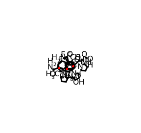 CC1(C)C(C(N)=O)c2ccc(cc2)[C@@]1(C(=O)NC(=O)O)N1CCCC1[C@@H]1CC[C@@H](C2CCCN2[C@]2(C(=O)NC(=O)O)c3ccc(cc3)C(C(N)=O)C2(C)C)N1c1ccc(C(F)(F)F)cc1